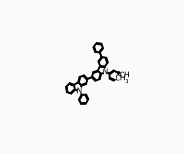 C#C/C=C(\C=C/C)n1c2ccc(-c3ccccc3)cc2c2cc(-c3ccc4c5ccccc5n(-c5ccccc5)c4c3)ccc21